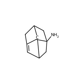 NC12CC3=CC(CC(C3)C1)C2